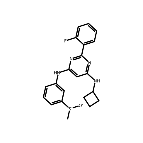 C[S+]([O-])c1cccc(Nc2cc(NC3CCC3)nc(-c3ccccc3F)n2)c1